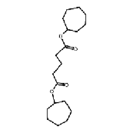 O=C(CCCC(=O)OC1CCCCCC1)OC1CCCCCC1